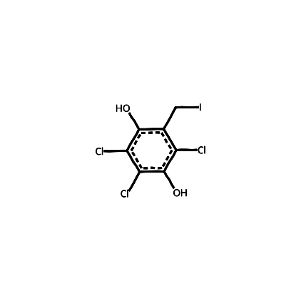 Oc1c(Cl)c(Cl)c(O)c(CI)c1Cl